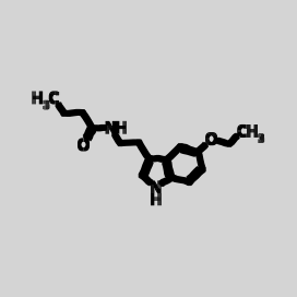 CCCC(=O)NCCc1c[nH]c2ccc(OCC)cc12